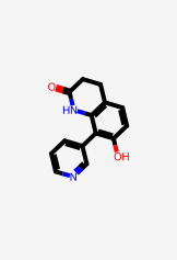 O=C1CCc2ccc(O)c(-c3cccnc3)c2N1